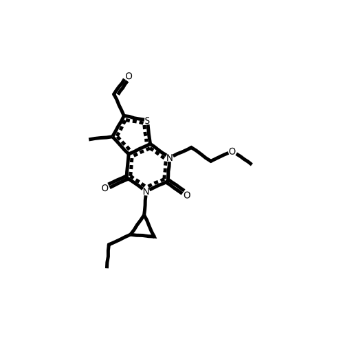 CCC1CC1n1c(=O)c2c(C)c(C=O)sc2n(CCOC)c1=O